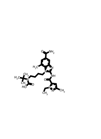 CCn1nc(C)cc1C(=O)Nc1nc2cc(C(N)=O)cc(C)c2n1CCCCN(C(=O)O)C(C)(C)C